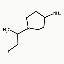 CC(CI)N1CCC(N)CC1